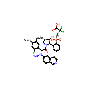 COc1cc(F)c([C@@H](C(=O)N2CCC(C(=O)O)C2c2ccccc2S(=O)(=O)C(C)C)N(N)c2ccc3cnccc3c2)cc1OC.O=C(O)C(F)(F)F